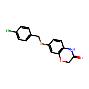 O=C1COc2cc(SCc3ccc(Cl)cc3)ccc2N1